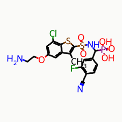 Cc1c(S(=O)(=O)NC(c2ccc(C#N)c(F)c2)P(=O)(O)O)sc2c(Cl)cc(OCCN)cc12